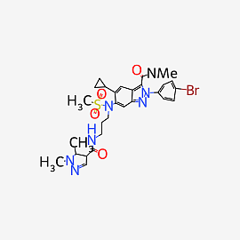 CNC(=O)c1c2cc(C3CC3)c(N(CCCNC(=O)C3C=NN(C)C3C)S(C)(=O)=O)cc2nn1-c1ccc(Br)cc1